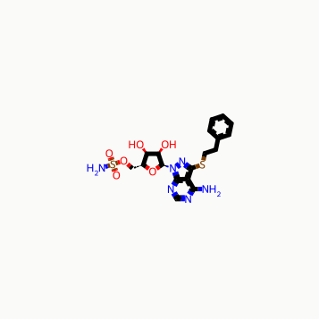 Nc1ncnc2c1c(SCCc1ccccc1)nn2[C@@H]1O[C@H](COS(N)(=O)=O)[C@@H](O)[C@H]1O